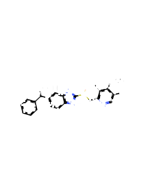 COc1c(C)cnc(C[S+]([O-])c2nc3cc(C(C(=O)O)c4ccccc4)ccc3[nH]2)c1C